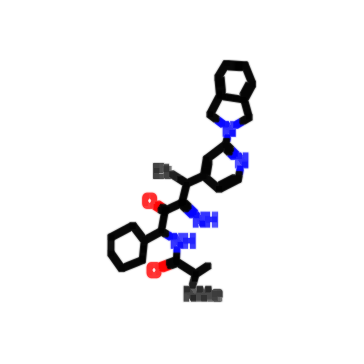 CCC(C(=N)C(=O)C(NC(=O)C(C)NC)C1CCCCC1)c1ccnc(N2Cc3ccccc3C2)c1